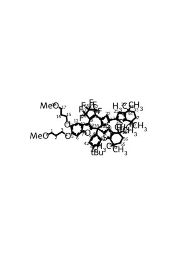 COCCCOc1cc2oc3c(c2cc1OCCCOC)C1=C(c2cc(-c4cc5c(s4)C(C)(C)CCC5(C)C)sc2C3(c2ccc(C(C)(C)C)cc2)c2cc3c(s2)C(C)(C)CCC3(C)C)C(F)(F)C(F)(F)C1(F)F